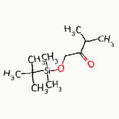 CC(C)C(=O)CO[Si](C)(C)C(C)(C)C